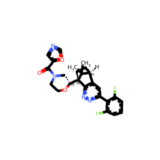 CC1(C)[C@H]2CC[C@]1([C@H]1CN(C(=O)c3cnco3)CCO1)c1nnc(-c3c(F)cccc3F)cc12